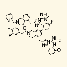 COc1cccc2c1nc(N)n1cc(Cc3cc(-c4ccc(F)c5nc(N)n6cc(Cc7cccc8c7CCN(Cc7ccccn7)C8)nc6c45)cc4c3CCN(C(=O)Cc3ccc(F)c(F)c3)C4)nc21